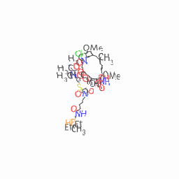 CCC(C)(CC)PCCNC(=O)CCCCCN1C(=O)CC(SCCC(=O)N(C)[C@@H](C)C(=O)O[C@H]2CC(=O)N(C)c3cc(cc(OC)c3Cl)C/C(C)=C/C=C/[C@@H](OC)[C@@]3(O)C[C@H](OC(=O)N3)[C@@H](C)[C@@H]3O[C@@]23C)C1=O